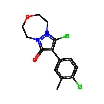 Cc1cc(-c2c(Cl)n3n(c2=O)CCOCC3)ccc1Cl